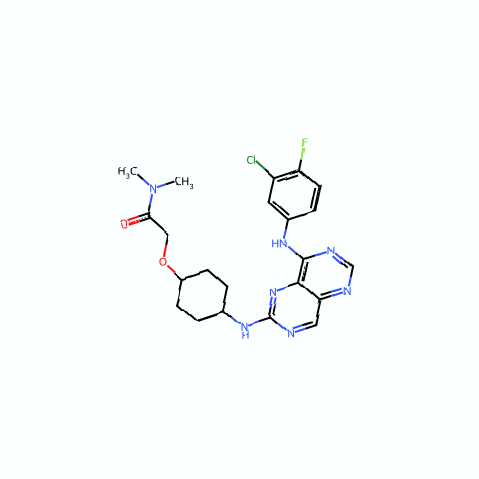 CN(C)C(=O)COC1CCC(Nc2ncc3ncnc(Nc4ccc(F)c(Cl)c4)c3n2)CC1